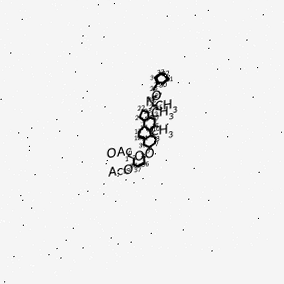 CC(=O)OC[C@H]1OC(O[C@H]2CC[C@@]3(C)C(=CCC4C3CC[C@@]3(C)C4CC[C@@H]3/C(C)=N/OCc3ccccc3)C2)C=C[C@@H]1OC(C)=O